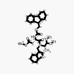 CCOC(OCC)[C@H](C)N(Cc1csc2ccccc12)C(=O)[C@H](CC(=O)OC(C)(C)C)NC(=O)OCC1c2ccccc2-c2ccccc21